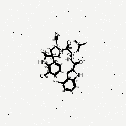 CC(C)C[C@H](NC(=O)c1cc2c(F)cccc2[nH]1)C(=O)N1C[C@]2(C[C@H]1C#N)C(=O)Nc1c(Cl)cccc12